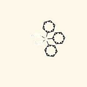 CCCCCCCCP(OC(C)=O)(c1ccccc1)(c1ccccc1)c1ccccc1